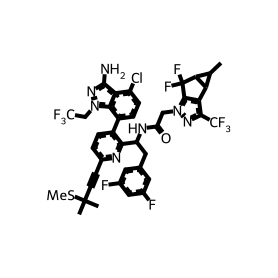 CSC(C)(C)C#Cc1ccc(-c2ccc(Cl)c3c(N)nn(CC(F)(F)F)c23)c(C(Cc2cc(F)cc(F)c2)NC(=O)Cn2nc(C(F)(F)F)c3c2C(F)(F)C2C(C)C32)n1